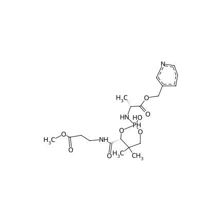 COC(=O)CCNC(=O)[C@@H]1O[PH](O)(N[C@H](C)C(=O)OCc2cccnc2)OCC1(C)C